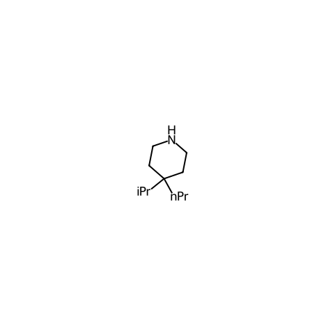 CCCC1(C(C)C)CCNCC1